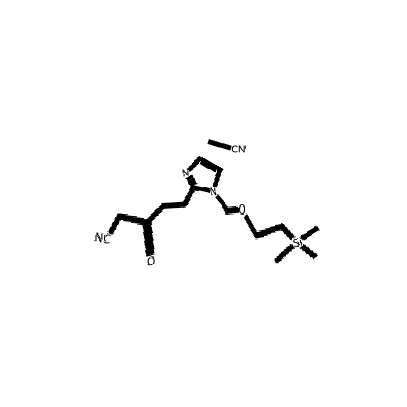 CC#N.C[Si](C)(C)CCOCn1ccnc1CCC(=O)CC#N